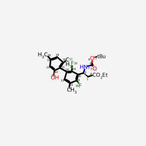 CCOC(=O)C[C@H](NC(=O)OC(C)(C)C)c1c(F)c(C)cc(-c2c(C)cc(C)cc2O)c1F